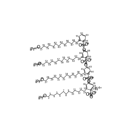 CC(C)OCCCCCCCCCCCCCc1ccccc1S(=O)(=O)[O-].CC(C)OCCCCCCCCCCCCCc1ccccc1S(=O)(=O)[O-].CC(C)OCCCCCCCCCCCCCc1ccccc1S(=O)(=O)[O-].CC(C)OCCCCCCCCCCCCCc1ccccc1S(=O)(=O)[O-].[Ti+4]